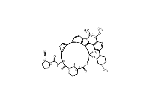 CCn1c(-c2cc(N3CCN(C)CC3)cnc2[C@H](C)OC)c2c3cc(ccc31)-c1csc(n1)C[C@H](NC(=O)[C@H]1CCC[C@@H]1C#N)C(=O)N1CCC[C@H](N1)C(=O)OCC(C)(C)C2